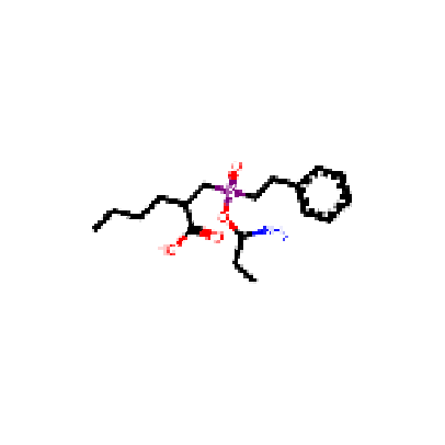 CCCCC(CP(=O)(CCc1ccccc1)OC(N)CC)C(=O)O